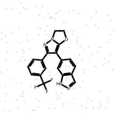 FC(F)(F)c1cccc(-c2nn3c(c2-c2ccc4cn[nH]c4c2)OCC3)c1